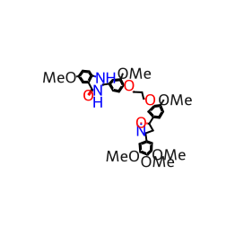 COc1ccc2c(c1)C(=O)NC(c1ccc(OCCCOc3cc(C4CC(c5cc(OC)c(OC)c(OC)c5)=NO4)ccc3OC)c(OC)c1)N2